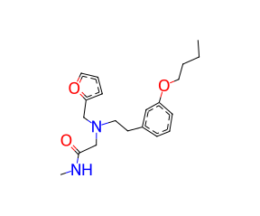 CCCCOc1cccc(CCN(CC(=O)NC)Cc2ccco2)c1